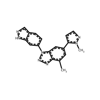 Cc1cc(-c2ccnn2C)cc2c1nnn2-c1ccc2cn[nH]c2c1